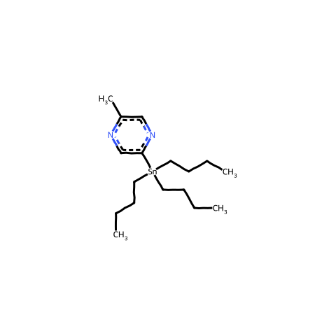 CCC[CH2][Sn]([CH2]CCC)([CH2]CCC)[c]1cnc(C)cn1